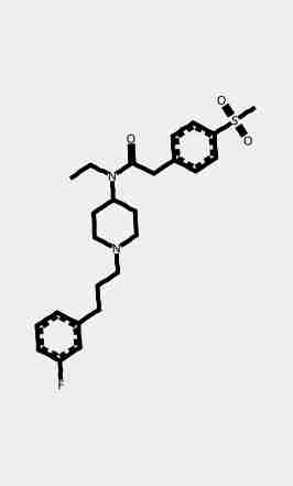 CCN(C(=O)Cc1ccc(S(C)(=O)=O)cc1)C1CCN(CC[CH]c2cccc(F)c2)CC1